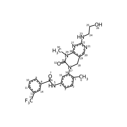 Cc1ccc(NC(=O)c2cccc(C(F)(F)F)c2)cc1N1Cc2cnc(NCCO)nc2N(C)C1=O